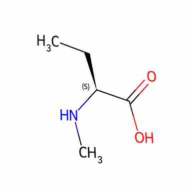 CC[C@H](NC)C(=O)O